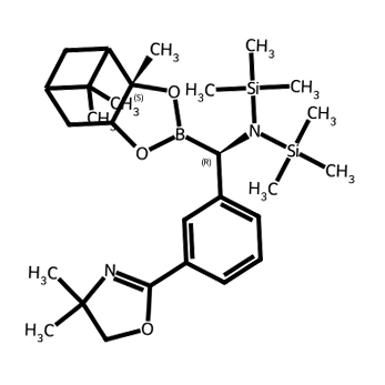 CC1(C)COC(c2cccc([C@@H](B3OC4CC5CC(C5(C)C)[C@]4(C)O3)N([Si](C)(C)C)[Si](C)(C)C)c2)=N1